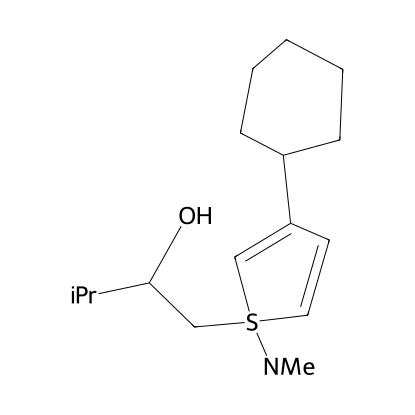 CNS1(CC(O)C(C)C)C=CC(C2CCCCC2)=C1